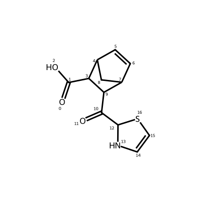 O=C(O)C1C2C=CC(C2)C1C(=O)C1NC=CS1